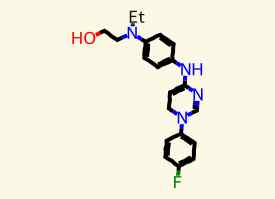 CCN(CCO)c1ccc(NC2=CCN(c3ccc(F)cc3)C=N2)cc1